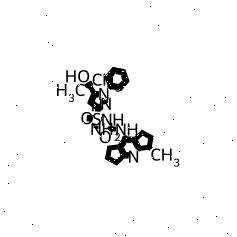 CC1CCc2c1nc1c(c2NC(=O)N[SH](N)(=O)c2cc(C(C)(C)O)n(-c3ccccc3)n2)CCC1